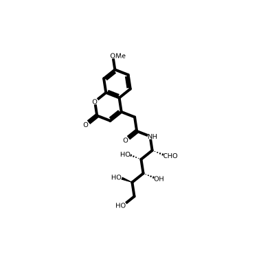 COc1ccc2c(CC(=O)N[C@H](C=O)[C@@H](O)[C@H](O)[C@H](O)CO)cc(=O)oc2c1